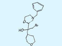 OC(CBr)(C1CCOCC1)C1CN(Cc2ccccc2)CCO1